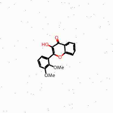 COc1cccc(-c2oc3ccccc3c(=O)c2O)c1OC